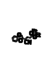 CCOC(CCC(C#N)C1COc2ccccc2O1)OCC